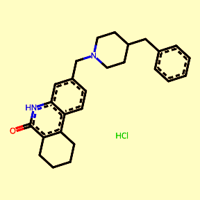 Cl.O=c1[nH]c2cc(CN3CCC(Cc4ccccc4)CC3)ccc2c2c1CCCC2